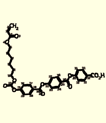 C=CC(=O)OCCCCCCOC(=O)Oc1ccc(C(=O)Oc2ccc(C(=O)Oc3ccc(C(=O)O)cc3)cc2)cc1